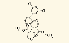 CCOC(=O)c1cnc2c(-c3cc(Cl)cc(Cl)c3)cccc2c1C1(C(=O)OC)CCOCC1